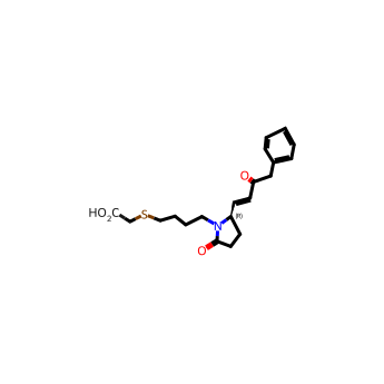 O=C(O)CSCCCCN1C(=O)CC[C@@H]1C=CC(=O)Cc1ccccc1